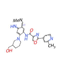 CN/C=C1/C=C(NC(=O)c2coc(-c3ccnc(C)c3)n2)C(N2CCCC(CO)C2)=CC1=N